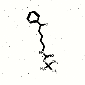 CC(C)(C)OC(=O)NCCCC[C](Cl)c1ccccc1